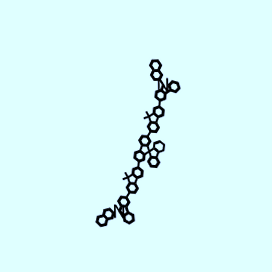 CC1(C)c2cc(-c3ccc4c(c3)C3(C5=C(CCC=C5)c5ccccc53)c3cc(-c5ccc6c(c5)C(C)(C)c5cc(-c7ccc8c(c7)c7ccccc7n8-c7ccc8ccccc8c7)ccc5-6)ccc3-4)ccc2-c2ccc(-c3ccc4c(c3)c3ccccc3n4-c3ccc4ccccc4c3)cc21